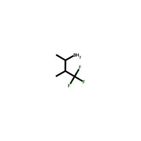 BC(C)C(C)C(F)(F)F